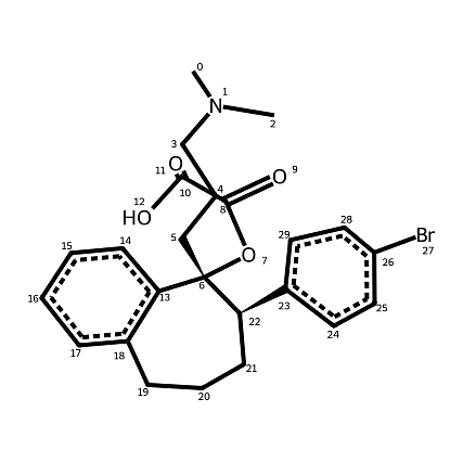 CN(C)CCC[C@]1(OC(=O)C(=O)O)c2ccccc2CCC[C@@H]1c1ccc(Br)cc1